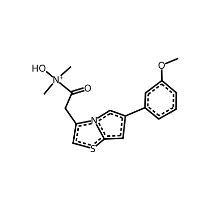 COc1cccc(-c2cc3scc(CC(=O)[N+](C)(C)O)n3c2)c1